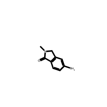 Bc1ccc2c(c1)CN(C)C2=O